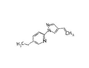 C=Cc1cnn(-c2ccc(CC)cn2)c1